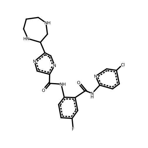 O=C(Nc1ccc(F)cc1C(=O)Nc1ccc(Cl)cn1)c1cnc(C2CNCCCN2)cn1